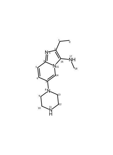 CCc1nc2ccc(N3CCNCC3)cn2c1NC